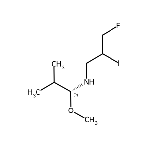 CO[C@@H](NCC(I)CF)C(C)C